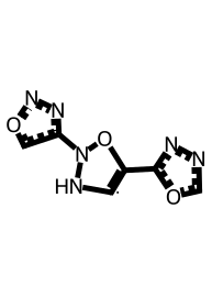 [C]1=C(c2nnco2)ON(c2conn2)N1